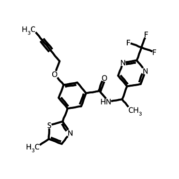 CC#CCOc1cc(C(=O)NC(C)c2cnc(C(F)(F)F)nc2)cc(-c2ncc(C)s2)c1